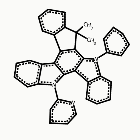 CC1(C)c2ccccc2-c2c1c1c(c3ccccc3n1-c1ccccc1)c1c2c2ccccc2n1-c1ccccn1